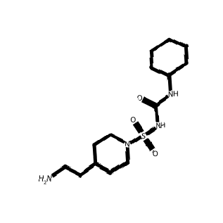 NCCC1CCN(S(=O)(=O)NC(=O)NC2CCCCC2)CC1